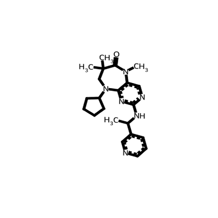 CC(Nc1ncc2c(n1)N(C1CCCC1)CC(C)(C)C(=O)N2C)c1cccnc1